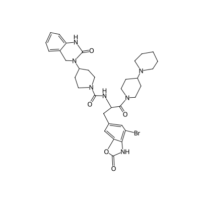 O=C(NC(Cc1cc(Br)c2[nH]c(=O)oc2c1)C(=O)N1CCC(N2CCCCC2)CC1)N1CCC(N2Cc3ccccc3NC2=O)CC1